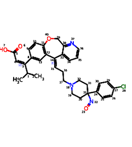 CC(C)/C(=C/C(=O)O)c1ccc2c(c1)/C(=C/CCN1CCC(N=O)(c3ccc(Cl)cc3)CC1)c1cccnc1CO2